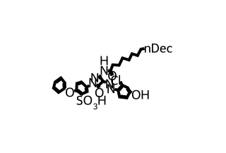 CCCCCCCCCCCCCCCCCC(=O)NC1=NN(c2ccc(Oc3ccccc3)c(S(=O)(=O)O)c2)C(=O)C1N=Nc1ccc(O)cc1Cl